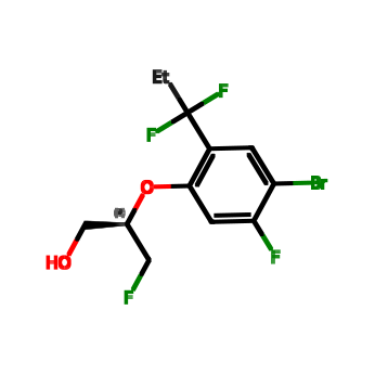 CCC(F)(F)c1cc(Br)c(F)cc1O[C@H](CO)CF